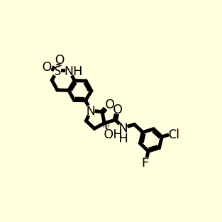 O=C(NCc1cc(F)cc(Cl)c1)[C@@]1(O)CCN(c2ccc3c(c2)CCS(=O)(=O)N3)C1=O